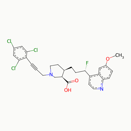 COc1ccc2nccc([C@@H](F)CC[C@@H]3CCN(CC#Cc4c(Cl)cc(Cl)cc4Cl)C[C@@H]3C(=O)O)c2c1